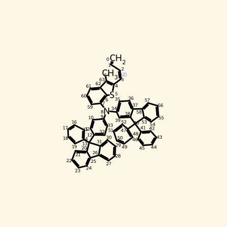 C=C/C=C\c1sc2c(N(c3ccc(C4(c5ccccc5)c5ccccc5-c5ccccc54)cc3)c3ccc4c(c3)C(c3ccccc3)(c3ccccc3)c3ccccc3-4)cccc2c1C